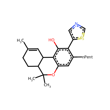 CCCCCc1cc2c(c(O)c1-c1cncs1)C1C=C(C)CCC1C(C)(C)O2